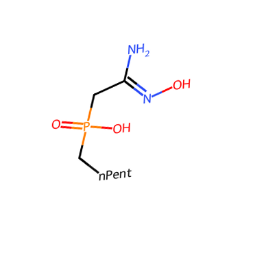 CCCCCCP(=O)(O)CC(N)=NO